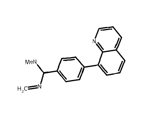 C=NC(NC)c1ccc(-c2cccc3cccnc23)cc1